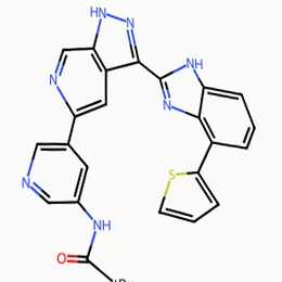 CC(C)(C)C(=O)Nc1cncc(-c2cc3c(-c4nc5c(-c6cccs6)cccc5[nH]4)n[nH]c3cn2)c1